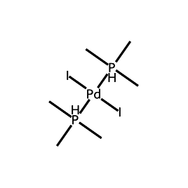 C[PH](C)(C)[Pd]([I])([I])[PH](C)(C)C